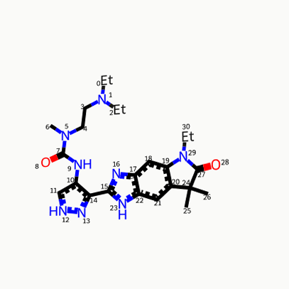 CCN(CC)CCN(C)C(=O)Nc1c[nH]nc1-c1nc2cc3c(cc2[nH]1)C(C)(C)C(=O)N3CC